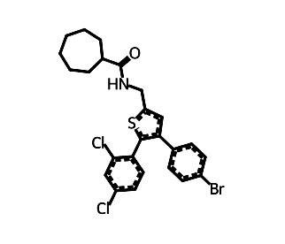 O=C(NCc1cc(-c2ccc(Br)cc2)c(-c2ccc(Cl)cc2Cl)s1)C1CCCCCC1